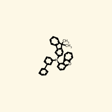 CC1(C)c2ccccc2-c2cc(N(c3cccc(-c4ccccc4)c3)c3cccc4oc5ccccc5c34)ccc21